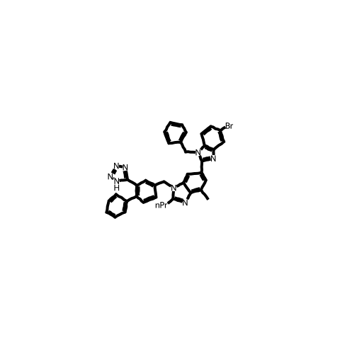 CCCc1nc2c(C)cc(-c3nc4cc(Br)ccc4n3Cc3ccccc3)cc2n1Cc1ccc(-c2ccccc2)c(-c2nnn[nH]2)c1